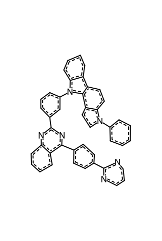 c1ccc(-n2ccc3c2ccc2c4ccccc4n(-c4cccc(-c5nc(-c6ccc(-c7ncccn7)cc6)c6ccccc6n5)c4)c23)cc1